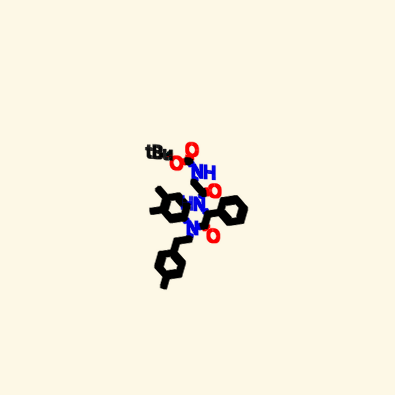 Cc1ccc(CCN(C(=O)C(NC(=O)CNC(=O)OC(C)(C)C)c2ccccc2)c2ccc(C)c(C)c2)cc1